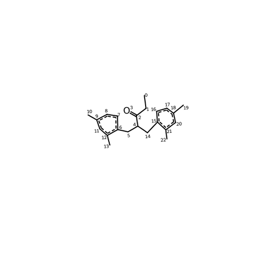 CCC(=O)C(Cc1ccc(C)cc1C)Cc1ccc(C)cc1C